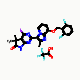 Cc1nc2c(OCc3c(F)cccc3F)cccn2c1-c1nc(I)c2c(n1)NC(=O)C2(C)C(F)(F)F.O=C(O)C(F)(F)F